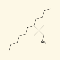 CCCCCCC(CCCC)C(C)(C)CN